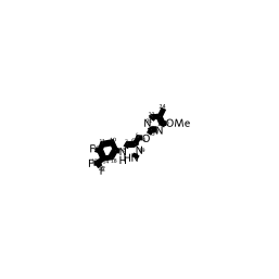 COc1nc(OC/C(=C/Nc2ccc(F)c(C(F)F)c2)N=N)ncc1C